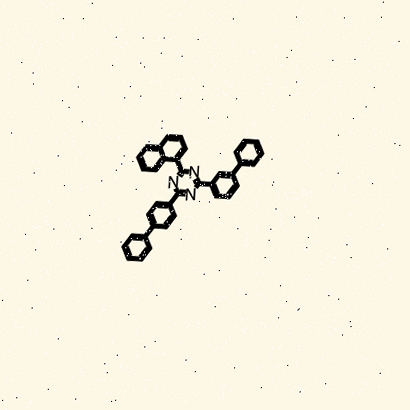 c1ccc(-c2ccc(-c3nc(-c4cccc(-c5ccccc5)c4)nc(-c4cccc5ccccc45)n3)cc2)cc1